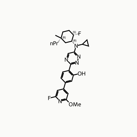 CCC[C@]1(C)CC[C@H](F)[C@H](N(c2cnc(-c3ccc(-c4cc(F)nc(OC)c4)cc3O)nn2)C2CC2)C1